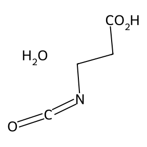 O.O=C=NCCC(=O)O